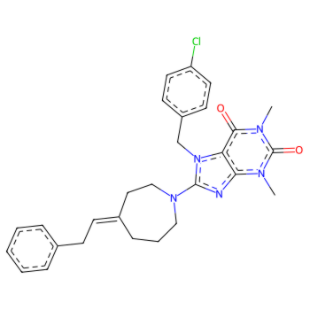 Cn1c(=O)c2c(nc(N3CCC/C(=C\Cc4ccccc4)CC3)n2Cc2ccc(Cl)cc2)n(C)c1=O